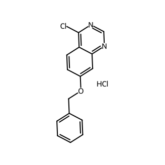 Cl.Clc1ncnc2cc(OCc3ccccc3)ccc12